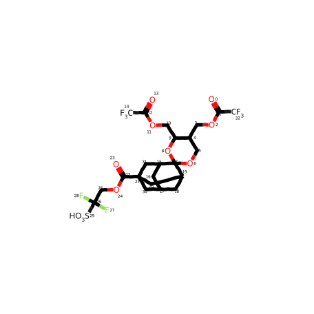 O=C(OCC1COC2(OC1COC(=O)C(F)(F)F)C1CC3CC2CC(C(=O)OCC(F)(F)S(=O)(=O)O)(C3)C1)C(F)(F)F